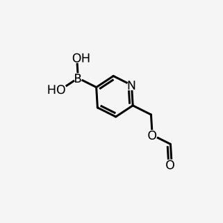 O=COCc1ccc(B(O)O)cn1